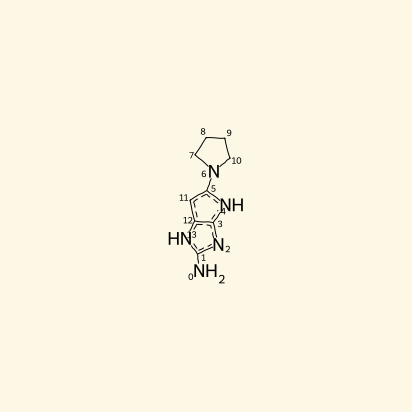 Nc1nc2[nH]c(N3CCCC3)cc2[nH]1